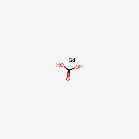 O=C(O)O.[Gd]